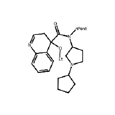 CCCCCN(C(=O)C1(OCC)CC=Nc2ccccc21)C1CCN(C2CCCC2)C1